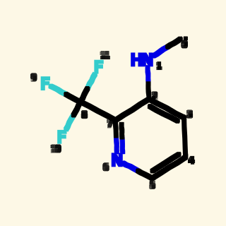 [CH2]Nc1cccnc1C(F)(F)F